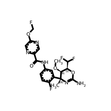 CO[C@H]1[C@@H](C(F)F)OC(N)=N[C@]1(C)c1cc(NC(=O)c2cnc(OCF)cn2)ccc1F